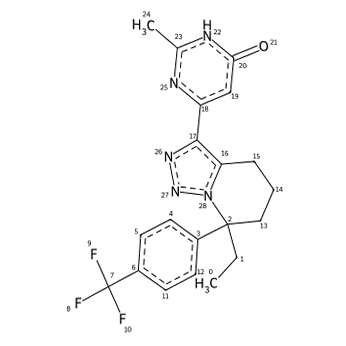 CCC1(c2ccc(C(F)(F)F)cc2)CCCc2c(-c3cc(=O)[nH]c(C)n3)nnn21